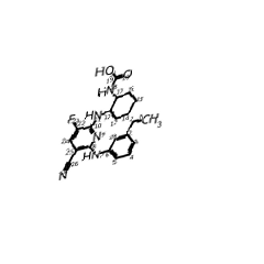 CCc1cccc(Nc2nc(N[C@@H]3CCCC[C@@H]3NC(=O)O)c(F)cc2C#N)c1